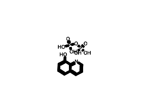 O=P(O)(O)OP(=O)(O)O.Oc1cccc2cccnc12